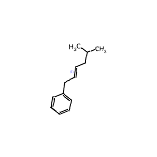 CC(C)C/C=C/Cc1ccccc1